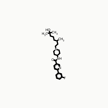 CC(CCCC(C)(C)O)CCN1CCC(NC(=O)c2ccc(-c3cccc(F)c3)nc2)CC1